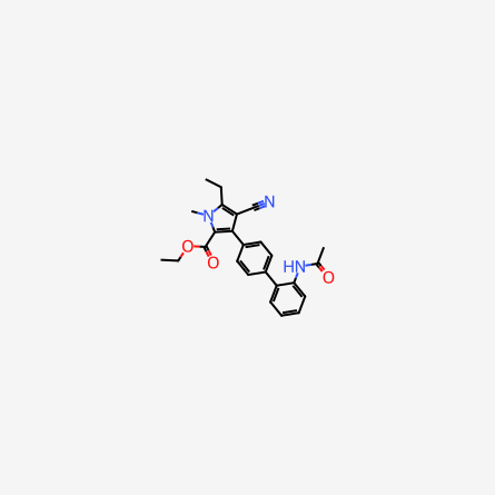 CCOC(=O)c1c(-c2ccc(-c3ccccc3NC(C)=O)cc2)c(C#N)c(CC)n1C